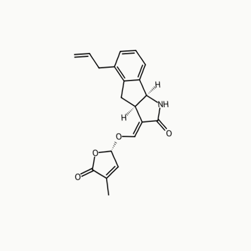 C=CCc1cccc2c1C[C@@H]1/C(=C\O[C@@H]3C=C(C)C(=O)O3)C(=O)N[C@H]21